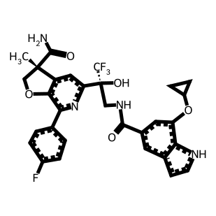 C[C@]1(C(N)=O)COc2c1cc([C@@](O)(CNC(=O)c1cc(OC3CC3)c3[nH]ccc3c1)C(F)(F)F)nc2-c1ccc(F)cc1